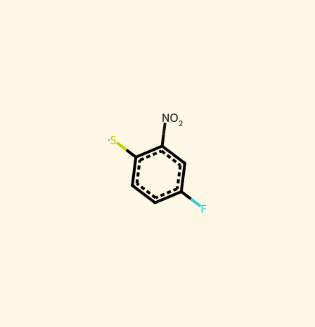 O=[N+]([O-])c1cc(F)ccc1[S]